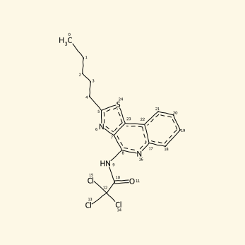 CCCCCc1nc2c(NC(=O)C(Cl)(Cl)Cl)nc3ccccc3c2s1